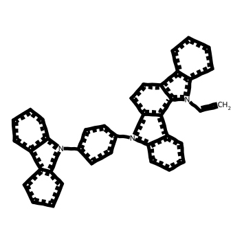 C=Cn1c2ccccc2c2ccc3c(c4ccccc4n3-c3ccc(-n4c5ccccc5c5ccccc54)cc3)c21